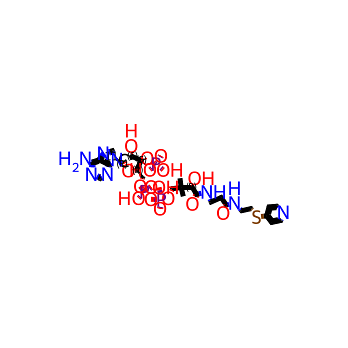 CC(C)(COP(=O)(O)OP(=O)(O)OC[C@H]1O[11C@@H](n2cnc3c(N)ncnc32)[C@H](O)[C@@H]1OP(=O)(O)O)[C@@H](O)C(=O)NCCC(=O)NCCSc1ccncc1